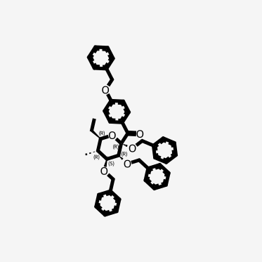 CC[C@H]1O[C@@](OCc2ccccc2)(C(=O)c2ccc(OCc3ccccc3)cc2)[C@H](OCc2ccccc2)[C@@H](OCc2ccccc2)[C@@H]1C